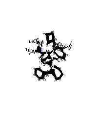 C[C@@H](Nc1nc(/C(N)=N/O)nc2nc(N3CCCCC3C3CCCCC3)n(C[C@H]3CC[C@H](C)CC3)c12)C1CCC1